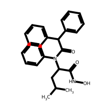 CC(C)CC(C(=O)NO)N(C(=O)C(c1ccccc1)c1ccccc1)c1ccccc1